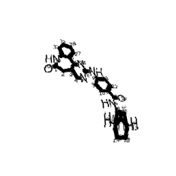 O=C1Cc2cnc(Nc3ccc(C(=O)N[C@@H]4C[C@H]5CC[C@@H]4C5)cc3)nc2-c2ccccc2N1